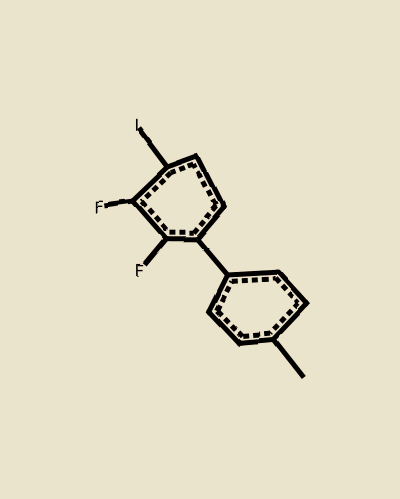 Cc1ccc(-c2ccc(I)c(F)c2F)cc1